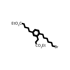 CCOC(=O)CCCCc1ccc(CCCCCCBr)c(CCC(=O)OCC)c1